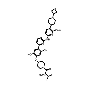 COc1nc(Nc2nccc(-c3cc(C#N)c(OC4CCN(C(=O)[C@H](O)C(F)F)CC4)cc3C)n2)ccc1N1CCN(C2COC2)CC1